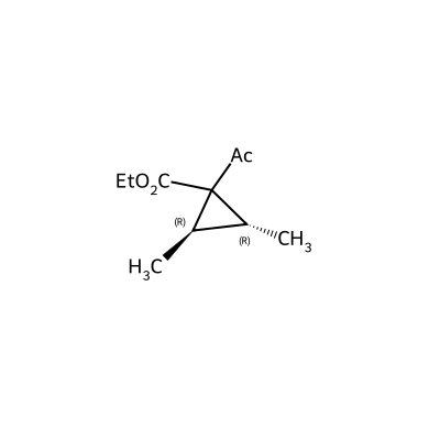 CCOC(=O)C1(C(C)=O)[C@H](C)[C@H]1C